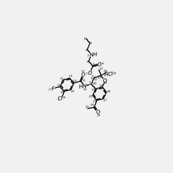 CCCNCC(=O)O[C@H]1[C@H](NC(=O)c2ccc(F)c(Cl)c2)c2cc(C(C)=O)ccc2OC1(C)C.Cl